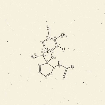 CCC(=O)NC1C=CC=CC1(Oc1ccc(Cl)c(C)c1Cl)N(C)C